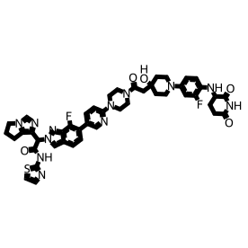 O=C1CCC(Nc2ccc(N3CCC(O)(CC(=O)N4CCN(c5ccc(-c6ccc7cn(C(C(=O)Nc8nccs8)c8ncn9c8CCC9)nc7c6F)cn5)CC4)CC3)cc2F)C(=O)N1